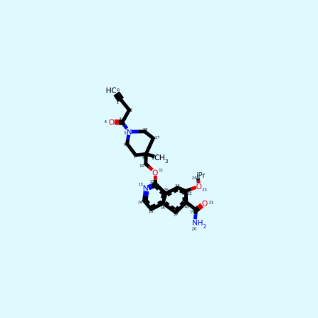 C#CCC(=O)N1CCC(C)(COc2nccc3cc(C(N)=O)c(OC(C)C)cc23)CC1